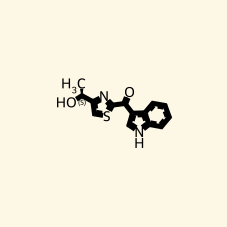 C[C@H](O)c1csc(C(=O)c2c[nH]c3ccccc23)n1